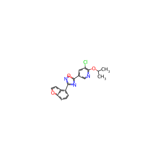 CC(C)Oc1ncc(-c2nc(-c3cc[c]c4occc34)no2)cc1Cl